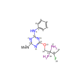 CNc1nc(Nc2ccccc2)nc(OCC(P)(P)C(C)F)n1